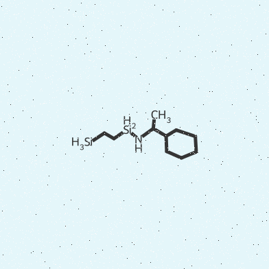 CC(N[SiH2]CC[SiH3])C1CCCCC1